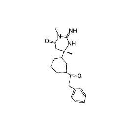 CN1C(=N)N[C@](C)(C2CCCC(C(=O)Cc3ccccc3)C2)CC1=O